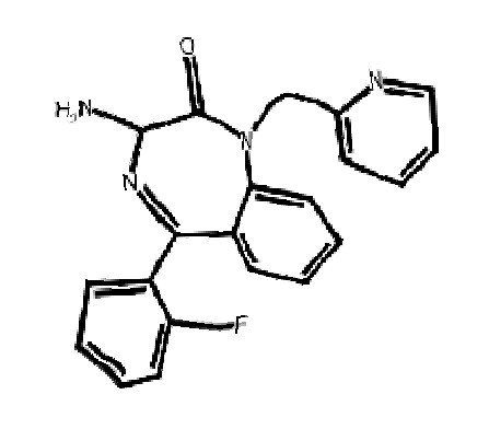 NC1N=C(c2ccccc2F)c2ccccc2N(Cc2ccccn2)C1=O